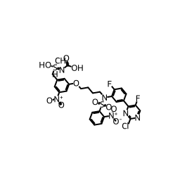 C[SH](O)(Cc1cc(OCCCCN(c2cc(-c3nc(Cl)ncc3F)ccc2F)S(=O)(=O)c2ccccc2[N+](=O)[O-])cc([N+](=O)[O-])c1)=NC(=O)O